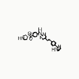 O=S(=O)(c1ccc(Nc2ncc(/C=C/c3ccc(-c4ncc[nH]4)cc3)cn2)cc1)C1CCNCC1